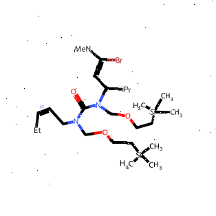 CC/C=C\CN(COCC[Si](C)(C)C)C(=O)N(COCC[Si](C)(C)C)C(C=C(Br)NC)C(C)C